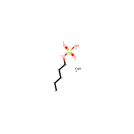 CCCCCOS(=O)(=O)O.[CsH]